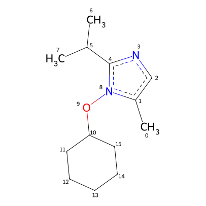 Cc1cnc(C(C)C)n1OC1CCCCC1